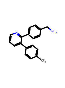 NCc1ccc(-c2nc[c]cc2-c2ccc(C(F)(F)F)cc2)cc1